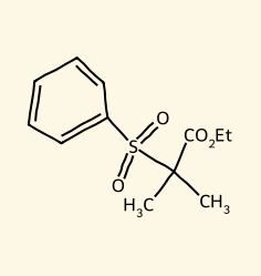 CCOC(=O)C(C)(C)S(=O)(=O)c1ccccc1